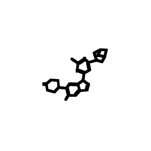 Cc1nc(N2CC3CC(C2)O3)cc(-n2ncc3cc(C)c(C4CCNCC4)cc32)n1